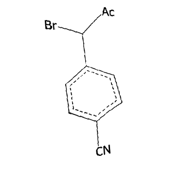 CC(=O)C(Br)c1ccc(C#N)cc1